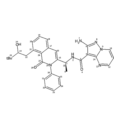 C[C@H](NC(=O)c1c(N)nn2cccnc12)c1cc2cccc(CC(O)C(C)(C)C)c2c(=O)n1-c1ccccc1